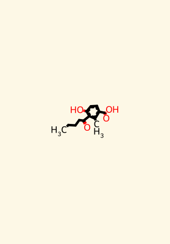 CCCCC(=O)c1c(O)ccc(C(=O)O)c1C